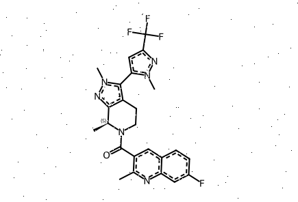 Cc1nc2cc(F)ccc2cc1C(=O)N1CCc2c(nn(C)c2-c2cc(C(F)(F)F)nn2C)[C@@H]1C